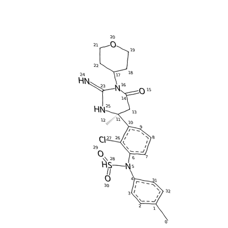 Cc1ccc(N(c2cccc([C@]3(C)CC(=O)N(C4CCOCC4)C(=N)N3)c2Cl)[SH](=O)=O)cc1